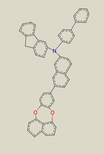 c1ccc(-c2ccc(N(c3ccc4c(c3)-c3ccccc3C4)c3ccc4ccc(-c5ccc6c(c5)Oc5cccc7cccc(c57)O6)cc4c3)cc2)cc1